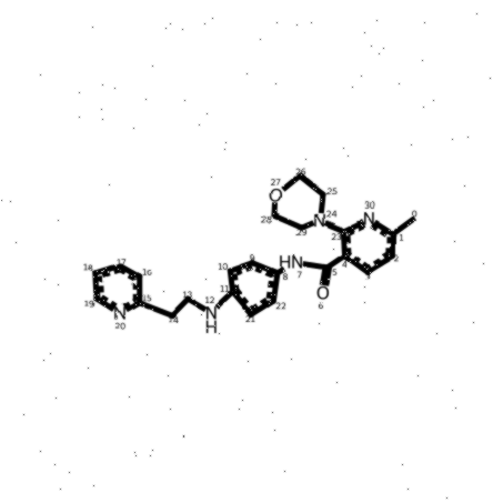 Cc1ccc(C(=O)Nc2ccc(NCCc3ccccn3)cc2)c(N2CCOCC2)n1